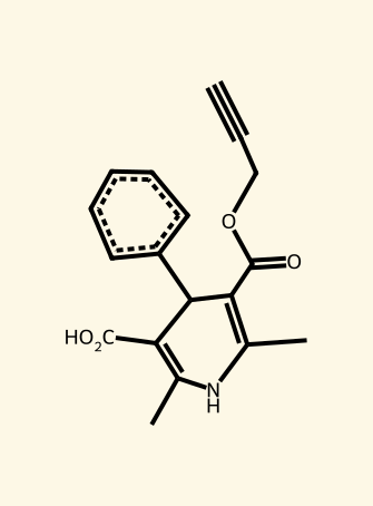 C#CCOC(=O)C1=C(C)NC(C)=C(C(=O)O)C1c1ccccc1